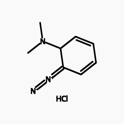 CN(C)C1C=CC=CC1=[N+]=[N-].Cl